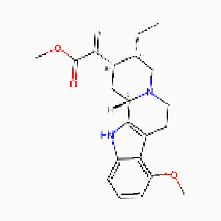 C=C(C(=O)OC)[C@H]1C[C@H]2c3[nH]c4cccc(OC)c4c3CCN2C[C@H]1CC